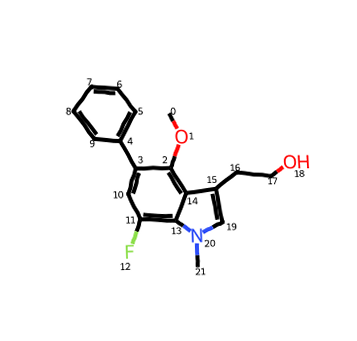 COc1c(-c2ccccc2)cc(F)c2c1c(CCO)cn2C